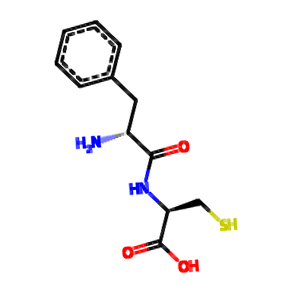 N[C@H](Cc1ccccc1)C(=O)N[C@@H](CS)C(=O)O